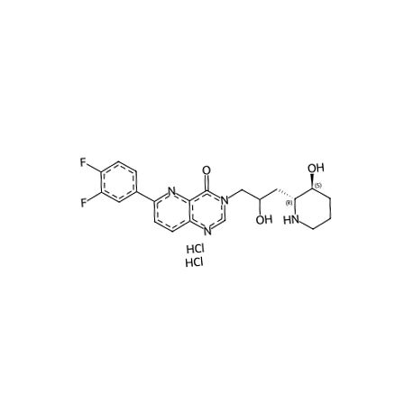 Cl.Cl.O=c1c2nc(-c3ccc(F)c(F)c3)ccc2ncn1CC(O)C[C@H]1NCCC[C@@H]1O